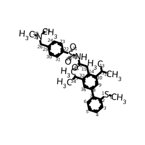 CSc1ccccc1-c1cc(C(C)C)c(CC(=O)NS(=O)(=O)c2ccc(CN(C)C)cc2)c(C(C)C)c1